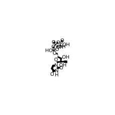 C#C[C@]1(O)[C@@H](O)[C@@H](COP(=O)(O)OP(=O)(O)OP(=O)(O)O)O[C@H]1n1ccc(=O)[nH]c1=O